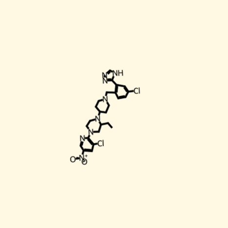 CCC1CN(c2ncc([N+](=O)[O-])cc2Cl)CCN1C1CCN(Cc2ccc(Cl)cc2-c2nnc[nH]2)CC1